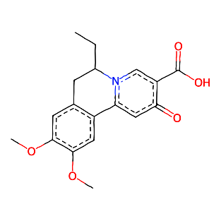 CCC1Cc2cc(OC)c(OC)cc2-c2cc(=O)c(C(=O)O)cn21